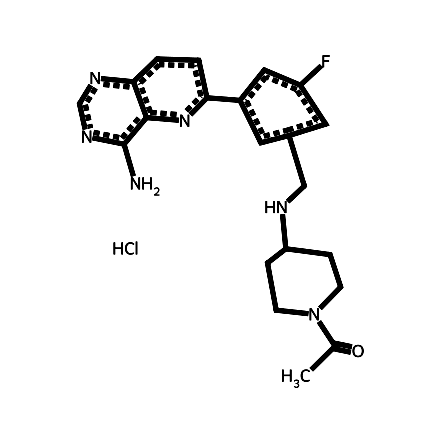 CC(=O)N1CCC(NCc2cc(F)cc(-c3ccc4ncnc(N)c4n3)c2)CC1.Cl